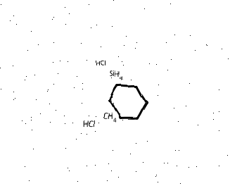 C.C1CCCCC1.Cl.Cl.[SiH4]